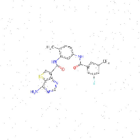 Cc1ccc(NC(=O)c2cc(F)cc(C(F)(F)F)c2)cc1NC(=O)c1csc2c(N)ncnc12